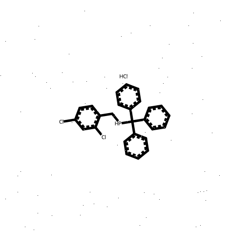 Cl.Clc1ccc(CPC(c2ccccc2)(c2ccccc2)c2ccccc2)c(Cl)c1